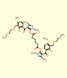 COCCOCc1c(SC)ccc(C(=O)c2c(C)nn(C)c2OC(=O)CCCCC(=O)Oc2c(C(=O)c3ccc(SC)c(COCCOC)c3Cl)c(C)nn2C)c1Cl